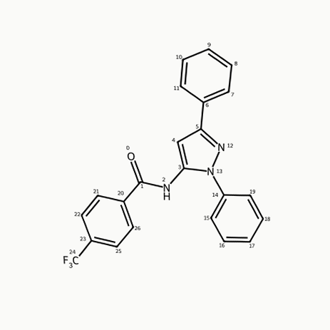 O=C(Nc1cc(-c2ccccc2)nn1-c1ccccc1)c1ccc(C(F)(F)F)cc1